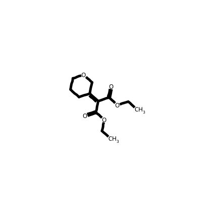 CCOC(=O)C(C(=O)OCC)=C1CCCOC1